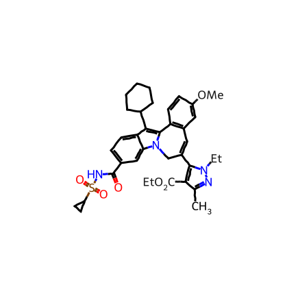 CCOC(=O)c1c(C)nn(CC)c1C1=Cc2cc(OC)ccc2-c2c(C3CCCCC3)c3ccc(C(=O)NS(=O)(=O)C4CC4)cc3n2C1